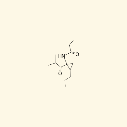 CCCC1CC1(NC(=O)C(C)C)C(=O)C(C)C